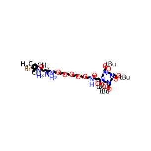 Cc1cc(C)c(NC(=O)CC[C@H](N)CNCCOCCOCCOCCOCCOCCNC(=O)CCC(C(=O)OC(C)(C)C)N2CCN(CC(=O)OC(C)(C)C)CCN(CC(=O)OC(C)(C)C)CCN(CC(=O)OC(C)(C)C)CC2)c(C)c1Br